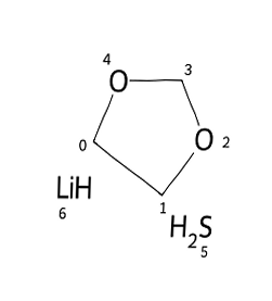 C1COCO1.S.[LiH]